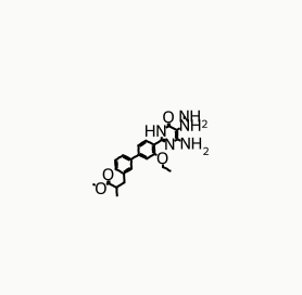 CCOc1cc(-c2cccc(CC(C)C(=O)OC)c2)ccc1-c1nc(N)c(NN)c(=O)[nH]1